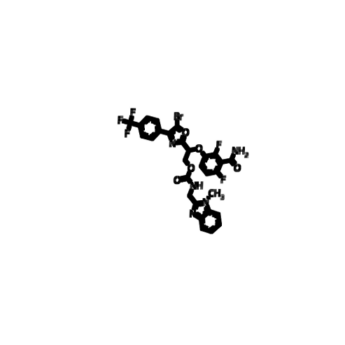 Cn1c(CNC(=O)OCC(Oc2ccc(F)c(C(N)=O)c2F)c2nc(-c3ccc(C(F)(F)F)cc3)c(Br)o2)nc2ccccc21